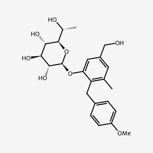 COc1ccc(Cc2c(C)cc(CO)cc2O[C@@H]2O[C@H]([C@@H](C)O)[C@@H](O)[C@H](O)[C@H]2O)cc1